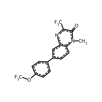 Cn1c(=O)c(C(F)(F)F)nc2cc(-c3ccc(OC(F)(F)F)cc3)ccc21